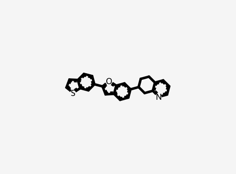 c1cnc2c(c1)CCC(c1ccc3cc(-c4ccc5ccsc5c4)oc3c1)C2